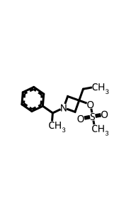 CCC1(OS(C)(=O)=O)CN(C(C)c2ccccc2)C1